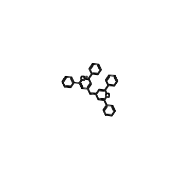 C(=C1C=C(c2ccccc2)OC(c2ccccc2)=C1)c1cc(-c2ccccc2)[o+]c(-c2ccccc2)c1